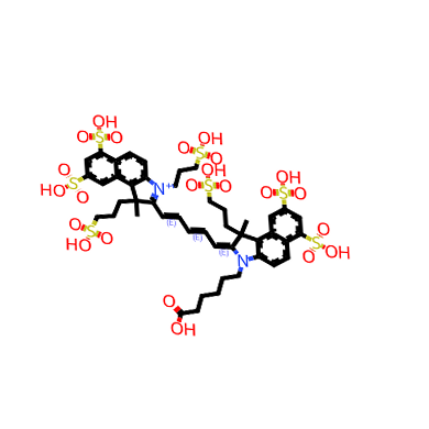 CC1(CCCS(=O)(=O)O)C(/C=C/C=C/C=C2/N(CCCCCC(=O)O)c3ccc4c(S(=O)(=O)O)cc(S(=O)(=O)O)cc4c3C2(C)CCCS(=O)(=O)O)=[N+](CCCS(=O)(=O)O)c2ccc3c(S(=O)(=O)O)cc(S(=O)(=O)O)cc3c21